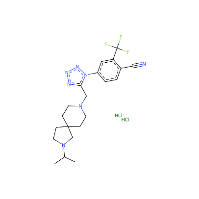 CC(C)N1CCC2(CCN(Cc3nnnn3-c3ccc(C#N)c(C(F)(F)F)c3)CC2)C1.Cl.Cl